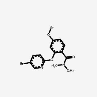 CCOc1ccc(C(=O)N(C)OC)c(Oc2ccc(Br)cn2)c1